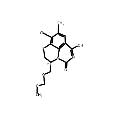 COCOC[C@H]1CSc2c(Cl)c(C)cc3c(O)nc(=O)n1c23